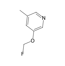 Cc1cncc(OCF)c1